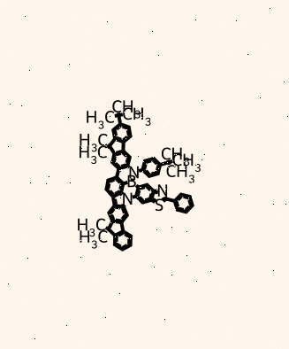 CC(C)(C)c1ccc(N2B3c4cc5nc(-c6ccccc6)sc5cc4-n4c5cc6c(cc5c5ccc(c3c54)-c3cc4c(cc32)-c2ccc(C(C)(C)C)cc2C4(C)C)C(C)(C)c2ccccc2-6)cc1